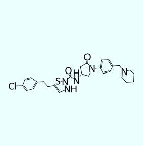 O=C(N[C@@H]1CC(=O)N(c2ccc(CN3CCCCC3)cc2)C1)N1NC=C(CCc2ccc(Cl)cc2)S1